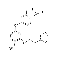 O=Cc1ccc(Oc2ccc(C(F)(F)F)c(F)c2)cc1OCCN1CCCC1